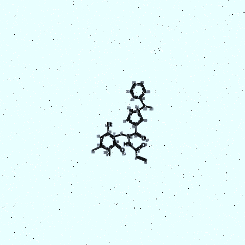 C=CC(=O)NN(Cc1c(CC)cc(C)[nH]c1=O)C(=O)c1cnn(C(C)c2ccccc2)c1